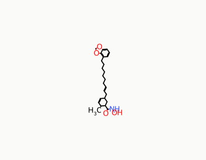 CC1C=CC(CC=CCCCCCCCc2cccc3c2OCO3)CC1C(=O)NO